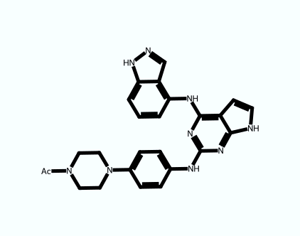 CC(=O)N1CCN(c2ccc(Nc3nc(Nc4cccc5[nH]ncc45)c4cc[nH]c4n3)cc2)CC1